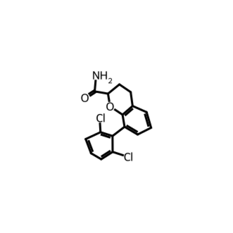 NC(=O)C1CCc2cccc(-c3c(Cl)cccc3Cl)c2O1